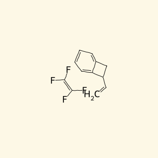 C=CC1Cc2ccccc21.FC(F)=C(F)F